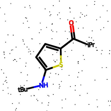 CC(C)C(=O)c1ccc(NC(C)(C)C)s1